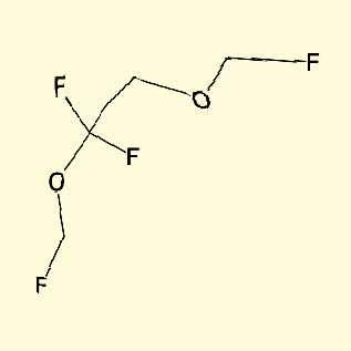 FCOCC(F)(F)OCF